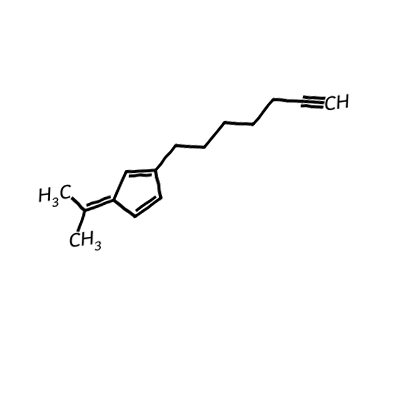 C#CCCCCCC1=CC(=C(C)C)C=C1